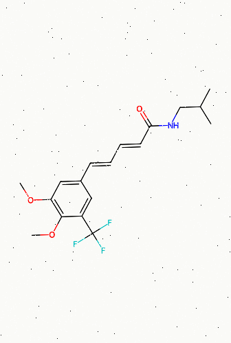 COc1cc(C=CC=CC(=O)NCC(C)C)cc(C(F)(F)F)c1OC